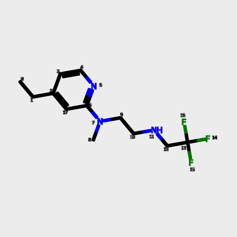 CCc1ccnc(N(C)CCNCC(F)(F)F)c1